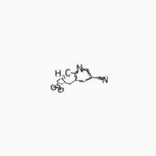 Cc1ncc(C#N)cc1CC1CCS1(=O)=O